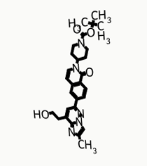 Cc1cn2nc(-c3ccc4c(=O)n(C5CCN(C(=O)OC(C)(C)C)CC5)ccc4c3)cc(CCO)c2n1